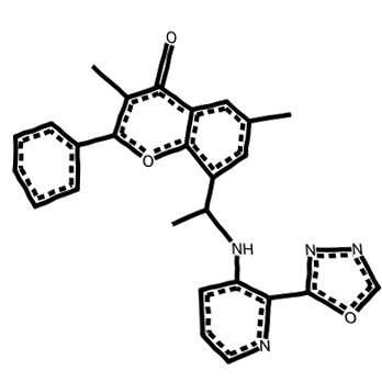 Cc1cc(C(C)Nc2cccnc2-c2nnco2)c2oc(-c3ccccc3)c(C)c(=O)c2c1